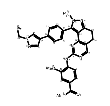 COC(=O)c1ccc(Nc2ncc3c(n2)-c2c(nn(C)c2-c2ccc(-c4cnn(CC(C)C)c4)cc2)CC3)c(OC)c1